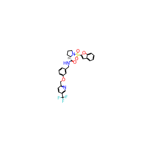 O=C(NCc1cccc(OCc2ccc(C(F)(F)F)cn2)c1)[C@@H]1CCCN1S(=O)(=O)c1cc2ccccc2o1